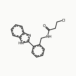 O=C(CCCl)NCc1ccccc1-c1nc2ccccc2[nH]1